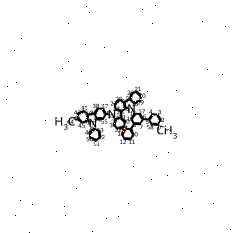 Cc1cccc(-c2cc(-c3ccccc3)cc(-n3c4ccccc4c4ccc5c(c6ccccc6n5-c5ccc6c7ccc(C)cc7n(-c7ccccc7)c6c5)c43)c2)c1